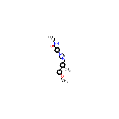 CCCNC(=O)c1ccc(N2CCN(Cc3ccc(-c4cccc(OCC)c4)c(C)c3)CC2)cc1